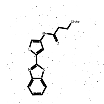 CC(=O)NCCC(=O)Nc1coc(-c2nc3ccccc3s2)c1